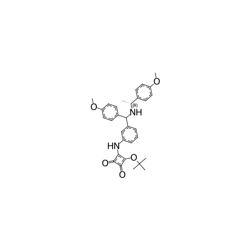 COc1ccc(C(N[C@H](C)c2ccc(OC)cc2)c2cccc(Nc3c(OC(C)(C)C)c(=O)c3=O)c2)cc1